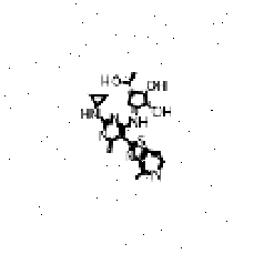 Cc1nc(NC2CC2)nc(N[C@@H]2C[C@H](C(C)O)[C@@H](O)[C@H]2O)c1-c1nc2c(C)nccc2s1